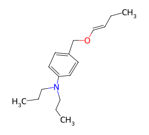 CCC=COCc1ccc(N(CCC)CCC)cc1